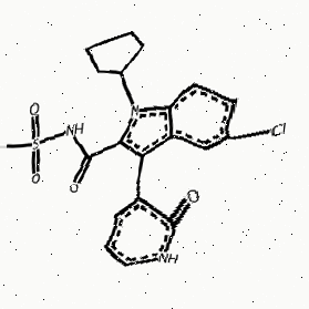 CS(=O)(=O)NC(=O)c1c(-c2ccc[nH]c2=O)c2cc(Cl)ccc2n1C1CCCC1